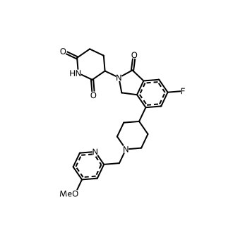 COc1ccnc(CN2CCC(c3cc(F)cc4c3CN(C3CCC(=O)NC3=O)C4=O)CC2)c1